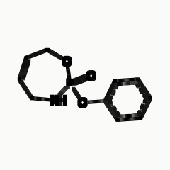 O=P1(Oc2ccccc2)NCC=CCO1